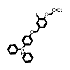 CCOCOc1ccc(COc2ccc([SH](c3ccccc3)c3ccccc3)cc2)cc1I